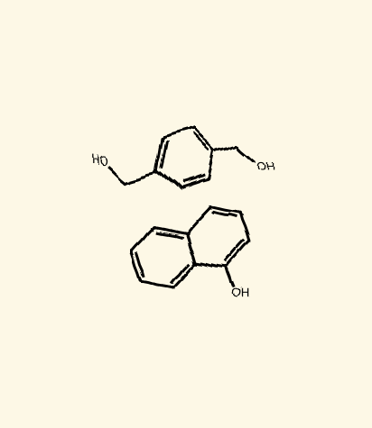 OCc1ccc(CO)cc1.Oc1cccc2ccccc12